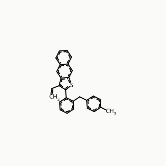 C=Cc1c(-c2ccccc2Cc2ccc(C)cc2)sc2cc3ccccc3cc12